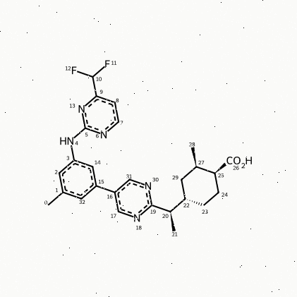 Cc1cc(Nc2nccc(C(F)F)n2)cc(-c2cnc([C@H](C)[C@H]3CC[C@H](C(=O)O)[C@H](C)C3)nc2)c1